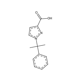 CC(C)(c1ccccc1)n1ccc(C(=O)O)n1